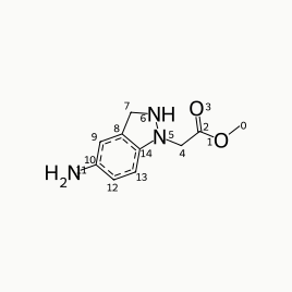 COC(=O)CN1NCc2cc(N)ccc21